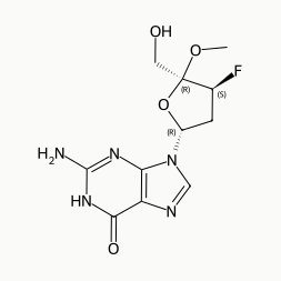 CO[C@]1(CO)O[C@@H](n2cnc3c(=O)[nH]c(N)nc32)C[C@@H]1F